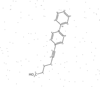 O=C(O)CCCC#Cc1ccc(-c2ccccc2)cc1